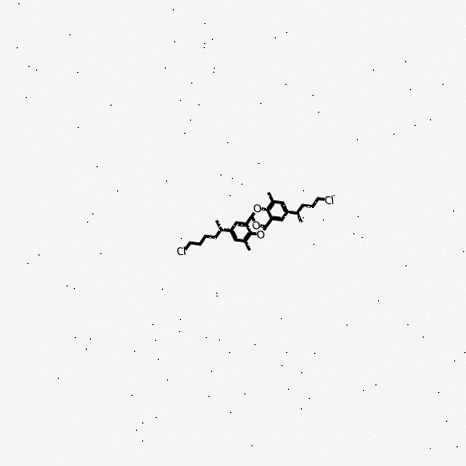 Cc1cc(C(C)CCCCl)cc2c1OC1OC2Oc2c(C)cc(C(C)CCCCCl)cc21